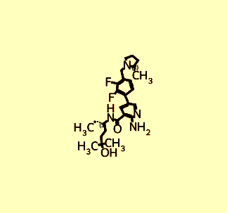 CC[C@@H](CCC(C)(C)O)NC(=O)c1cc(-c2ccc(CN3CCC[C@H]3C)c(F)c2F)cnc1N